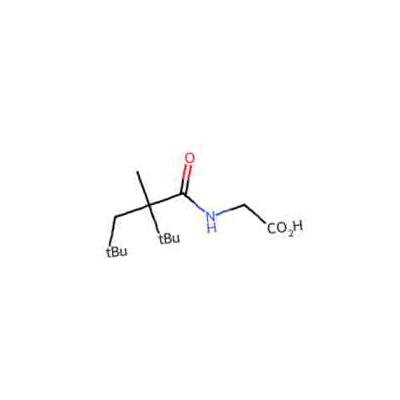 CC(C)(C)CC(C)(C(=O)NCC(=O)O)C(C)(C)C